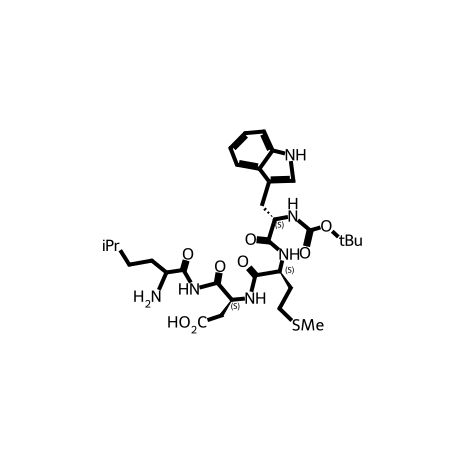 CSCC[C@H](NC(=O)[C@H](Cc1c[nH]c2ccccc12)NC(=O)OC(C)(C)C)C(=O)N[C@@H](CC(=O)O)C(=O)NC(=O)C(N)CCC(C)C